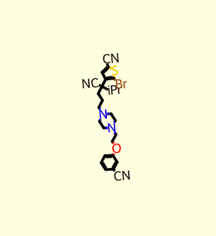 CC(C)C(C#N)(CCCN1CCN(CCOc2cccc(C#N)c2)CC1)c1cc(C#N)sc1Br